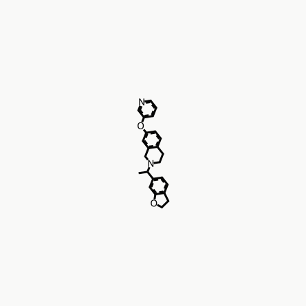 CC(c1ccc2c(c1)OCC2)N1CCc2ccc(Oc3cccnc3)cc2C1